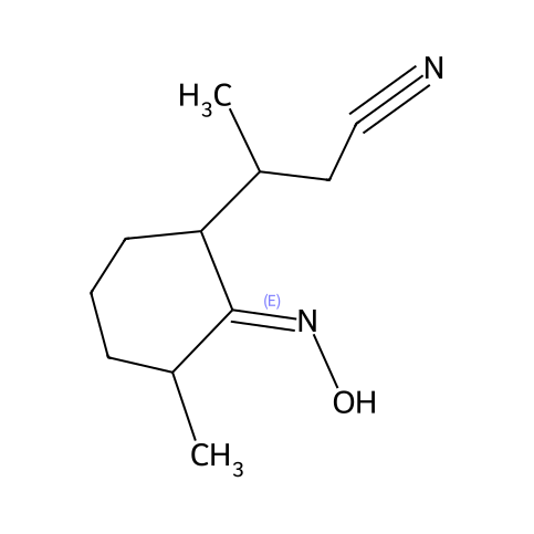 CC1CCCC(C(C)CC#N)/C1=N/O